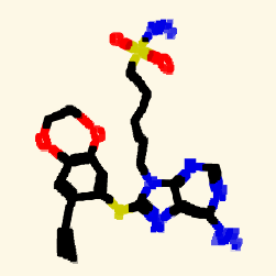 C#Cc1cc2c(cc1Sc1nc3c(N)ncnc3n1CCCCCS(N)(=O)=O)OCCO2